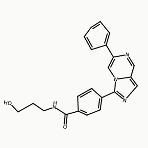 O=C(NCCCO)c1ccc(-c2ncc3cnc(-c4ccccc4)cn23)cc1